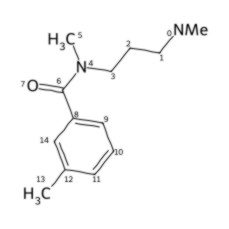 CNCCCN(C)C(=O)c1cccc(C)c1